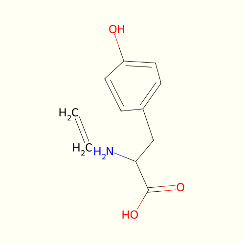 C=C.NC(Cc1ccc(O)cc1)C(=O)O